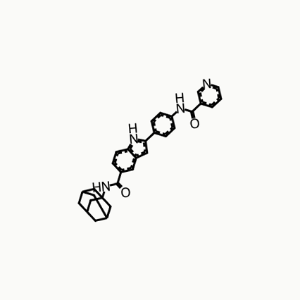 O=C(Nc1ccc(-c2cc3cc(C(=O)NC45CC6CC(CC(C6)C4)C5)ccc3[nH]2)cc1)c1cccnc1